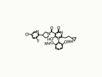 COc1cccc(OC)c1-n1c(CCC2CC2)nc(=O)c(C(=O)N2CCC(c3ncc(Cl)cc3F)C2)c1O